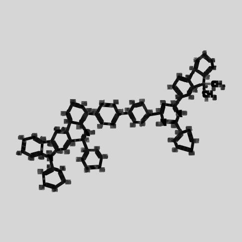 CC1(C)c2ccccc2-c2ccc(-c3cc(-c4ccc(-c5ccc(-c6cccc7c6nc(-c6ccccc6)c6cc8c(cc67)c6ccccc6n8-c6ccccc6)cc5)cc4)nc(-c4ccccc4)n3)cc21